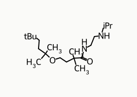 CC(C)NCCNC(=O)C(C)(C)CCOC(C)(C)CCC(C)(C)C